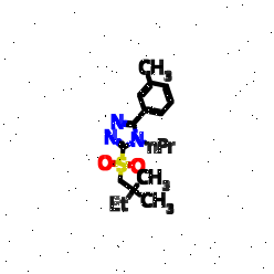 CCCn1c(-c2cccc(C)c2)nnc1S(=O)(=O)CC(C)(C)CC